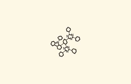 c1ccc(-c2nc(-c3ccccc3)nc(-c3ccc(-c4cccc5c6ccccc6n(-c6ccccc6)c45)c(-c4nc(-c5ccccc5)nc(-c5ccccc5)n4)c3)n2)cc1